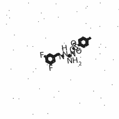 Cc1ccc(S(=O)(=O)ON=C(N)NN=Cc2cc(F)cc(F)c2)cc1